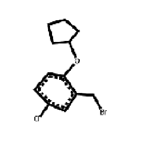 Clc1ccc(OC2CCCC2)c(CBr)c1